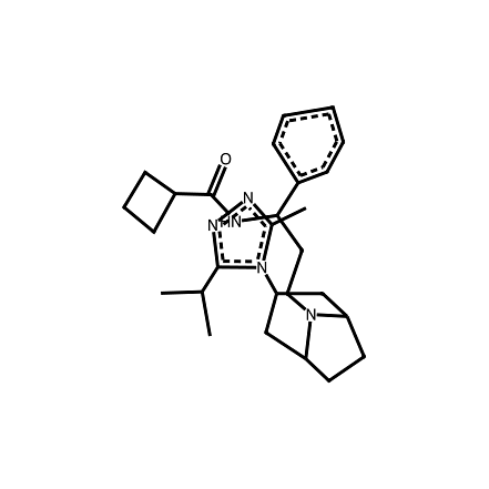 Cc1nnc(C(C)C)n1C1CC2CCC(C1)N2CCC(NC(=O)C1CCC1)c1ccccc1